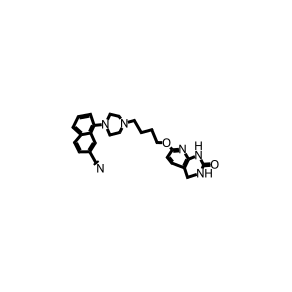 N#Cc1ccc2cccc(N3CCN(CCCCOc4ccc5c(n4)NC(=O)NC5)CC3)c2c1